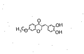 COc1ccc2c(c1)OC/C(=C\c1ccc(O)c(O)c1)C2=O